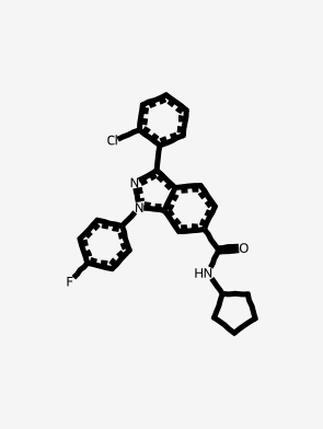 O=C(NC1CCCC1)c1ccc2c(-c3ccccc3Cl)nn(-c3ccc(F)cc3)c2c1